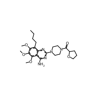 CCCCc1c(OC)c(OC)c(OC)c2c(N)nc(N3CCN(C(=O)C4CCCO4)CC3)nc12